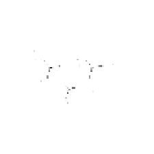 CCCC(CCC)C(=O)O.CCCC(CCC)C(=O)O.CCCC(CCC)C(=O)[O-].[Na+]